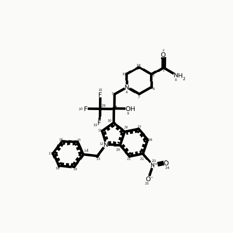 NC(=O)C1CCN(CC(O)(c2cn(Cc3ccccc3)c3cc([N+](=O)[O-])ccc23)C(F)(F)F)CC1